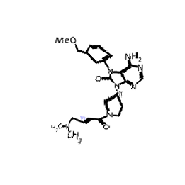 COCc1cccc(-n2c(=O)n([C@@H]3CCN(C(=O)/C=C/CN(C)C)C3)c3ncnc(N)c32)c1